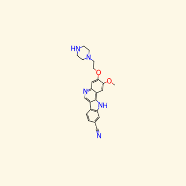 COc1cc2c(cc1OCCN1CCNCC1)ncc1c3ccc(C#N)cc3[nH]c21